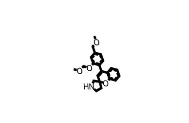 COCOc1cc(COC)ccc1C1=CC2(CCNC2)Oc2ccccc21